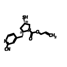 C=CCOC(=O)N1C[C@@H](S)C[C@H]1Cc1ccnc(C#N)c1